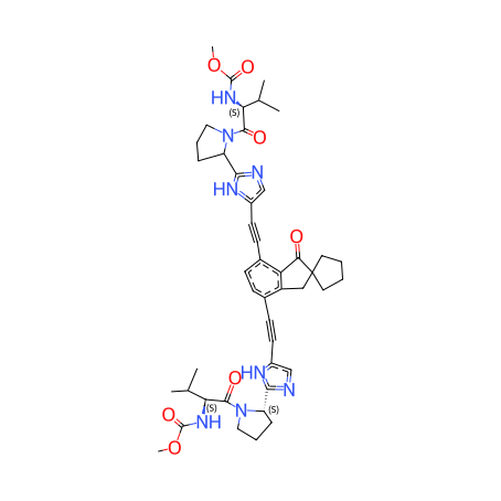 COC(=O)N[C@H](C(=O)N1CCCC1c1ncc(C#Cc2ccc(C#Cc3cnc([C@@H]4CCCN4C(=O)[C@@H](NC(=O)OC)C(C)C)[nH]3)c3c2C(=O)C2(CCCC2)C3)[nH]1)C(C)C